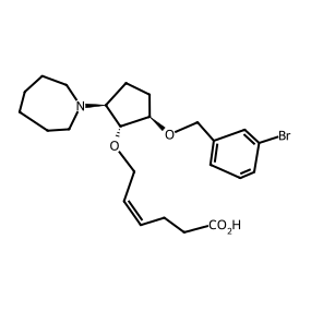 O=C(O)CC/C=C\CO[C@H]1[C@H](OCc2cccc(Br)c2)CC[C@@H]1N1CCCCCC1